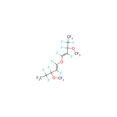 FC(OC(F)=C(F)C(F)(OC(F)(F)F)C(F)(F)C(F)(F)F)=C(F)C(F)(OC(F)(F)F)C(F)(F)C(F)(F)F